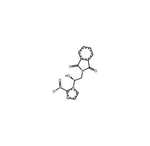 O=C1c2ccccc2C(=O)N1C[C@H](O)n1ccnc1[N+](=O)[O-]